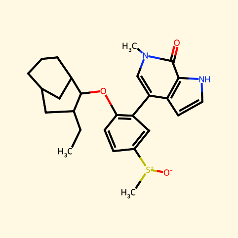 CCC1CC2CCCC(C2)C1Oc1ccc([S+](C)[O-])cc1-c1cn(C)c(=O)c2[nH]ccc12